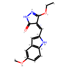 CCOC1=NNC(=O)/C1=C\c1cc2cc(OC)ccc2[nH]1